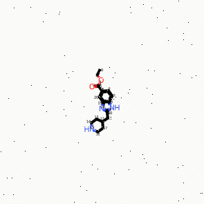 CCOC(=O)c1ccc2[nH]c(CC3CCNCC3)nc2c1